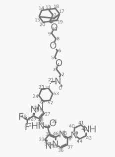 CN(CCOCCOCCOC12CC3CC(CC(C3)C1)C2)C[C@H]1CC[C@H](n2cc(NC(=O)c3cnn4ccc(N5CCNCC5)nc34)c(C(F)F)n2)CC1